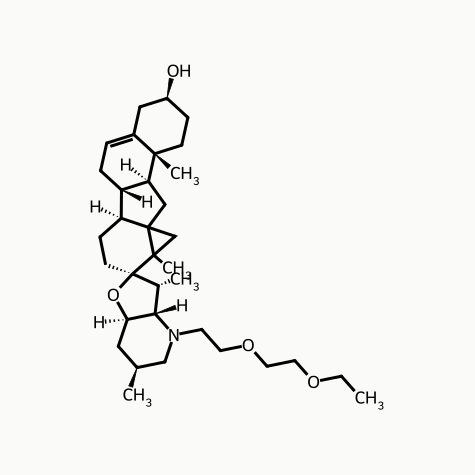 CCOCCOCCN1C[C@@H](C)C[C@H]2O[C@]3(CC[C@H]4[C@@H]5CC=C6C[C@@H](O)CC[C@]6(C)[C@H]5CC45CC53C)[C@H](C)[C@@H]21